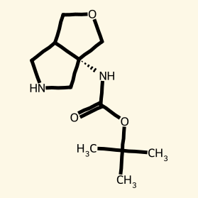 CC(C)(C)OC(=O)N[C@]12CNCC1COC2